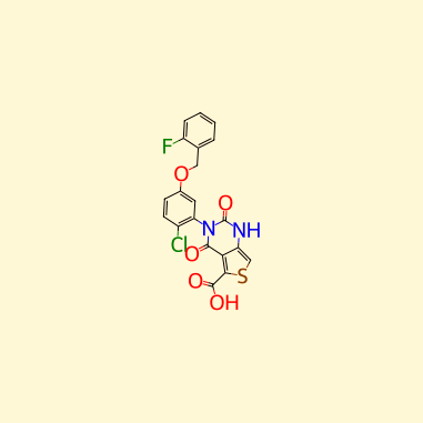 O=C(O)c1scc2[nH]c(=O)n(-c3cc(OCc4ccccc4F)ccc3Cl)c(=O)c12